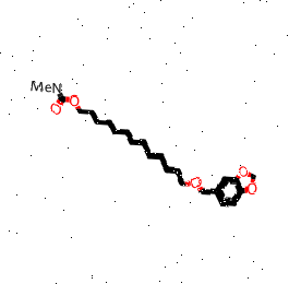 CNC(=O)OCCCCCCCCCCCCCOCc1ccc2c(c1)OCO2